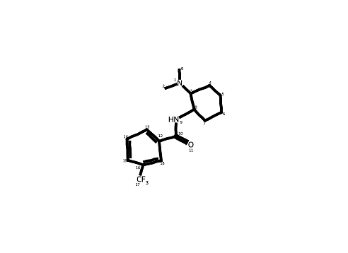 CN(C)C1CCCCC1NC(=O)c1cccc(C(F)(F)F)c1